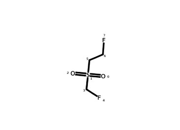 O=S(=O)(CF)CCF